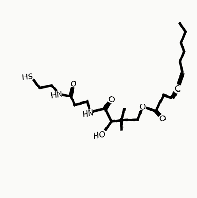 CCCCCC=C=CCC(=O)OCC(C)(C)C(O)C(=O)NCCC(=O)NCCS